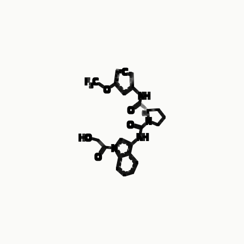 O=C(Nc1cccc(OC(F)(F)F)c1)[C@@H]1CCCN1C(=O)Nc1cn(C(=O)CO)c2ccccc12